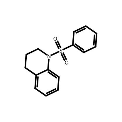 O=S(=O)(c1ccccc1)N1CCCc2ccccc21